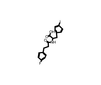 O=C(CCc1ccc(F)cc1)NC(Cc1ccc(I)cc1)C(=O)O